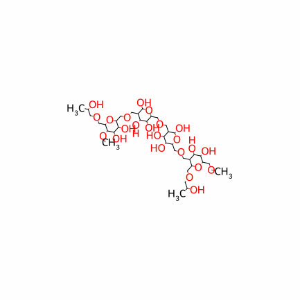 COCC1OC(COCC(C)O)C(COCC2OC(O)C(COCC3OC(O)C(COCC4OC(COCC(C)O)C(OC)C(O)C4O)C(O)C3O)C(O)C2O)C(O)C1O